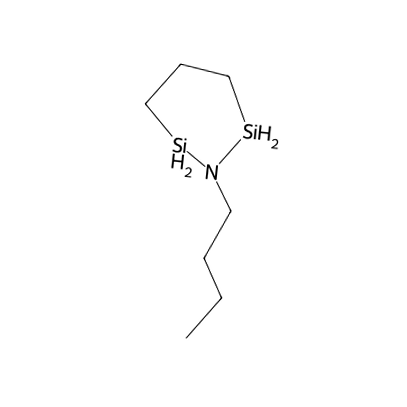 CCCCN1[SiH2]CCC[SiH2]1